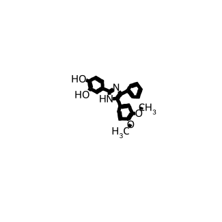 COc1ccc(-c2[nH]c(-c3ccc(O)c(O)c3)nc2-c2ccccc2)cc1OC